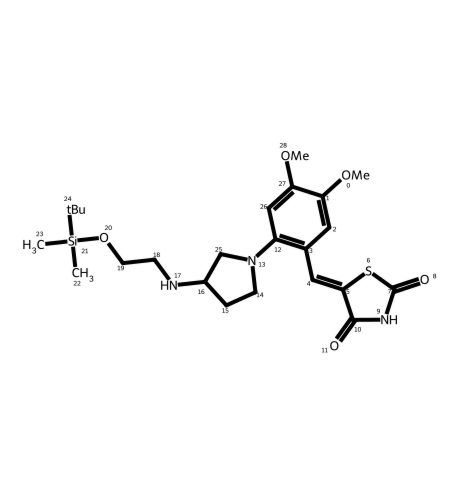 COc1cc(/C=C2\SC(=O)NC2=O)c(N2CCC(NCCO[Si](C)(C)C(C)(C)C)C2)cc1OC